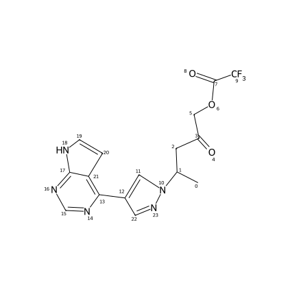 CC(CC(=O)COC(=O)C(F)(F)F)n1cc(-c2ncnc3[nH]ccc23)cn1